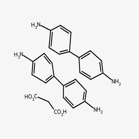 Nc1ccc(-c2ccc(N)cc2)cc1.Nc1ccc(-c2ccc(N)cc2)cc1.O=C(O)CC(=O)O